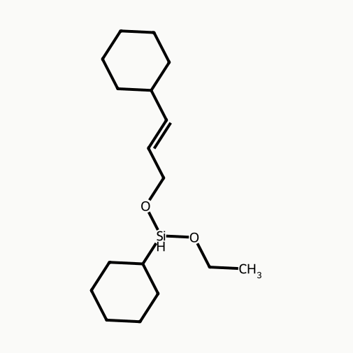 CCO[SiH](OCC=CC1CCCCC1)C1CCCCC1